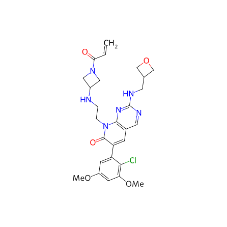 C=CC(=O)N1CC(NCCn2c(=O)c(-c3cc(OC)cc(OC)c3Cl)cc3cnc(NCC4COC4)nc32)C1